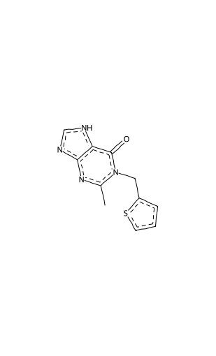 Cc1nc2nc[nH]c2c(=O)n1Cc1cccs1